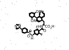 COc1cccc(OC)c1-c1ccc(C[C@H](NC(=O)c2c(F)cc(NS(=O)(=O)c3ccc(-n4cncn4)cc3)cc2F)C(=O)O)c2ccncc12